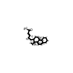 CC(C)C(=O)C=C[C@@H](C)[C@H]1CC[C@H]2C3=CC=C4CCCC[C@]4(C)[C@H]3CC[C@]12C